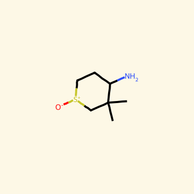 CC1(C)C[S+]([O-])CCC1N